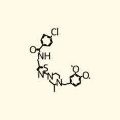 COc1ccc(CN2CCN(c3ncc(CNC(=O)c4ccc(Cl)cc4)s3)CC2C)cc1OC